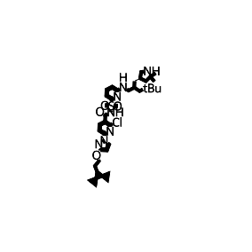 CC(C)(C)CC(CNc1cccc(S(=O)(=O)NC(=O)c2ccc(-n3ccc(OCCC4C5(CC5)C45CC5)n3)nc2Cl)n1)C[C@@H]1CNC(C)(C)C1